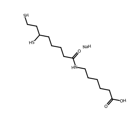 O=C(O)CCCCCNC(=O)CCCCC(S)CCS.[NaH]